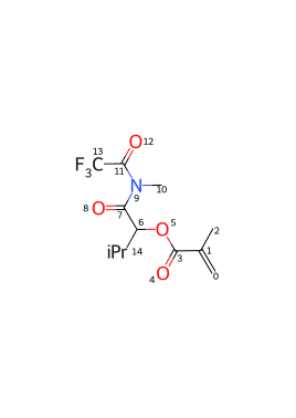 C=C(C)C(=O)OC(C(=O)N(C)C(=O)C(F)(F)F)C(C)C